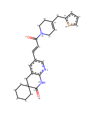 O=C(C=Cc1cnc2c(c1)CC1(CCCCC1)C(=O)N2)N1CC=C(Cc2cccs2)CC1